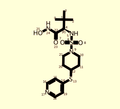 CC(C)(C)[C@@H](NS(=O)(=O)N1CCC(Sc2ccncc2)CC1)C(=O)NO